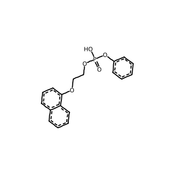 O=P(O)(OCCOc1cccc2ccccc12)Oc1ccccc1